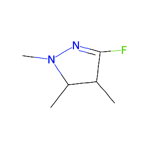 CC1C(F)=NN(C)C1C